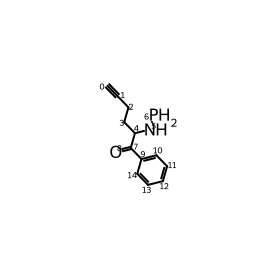 C#CCCC(NP)C(=O)c1ccccc1